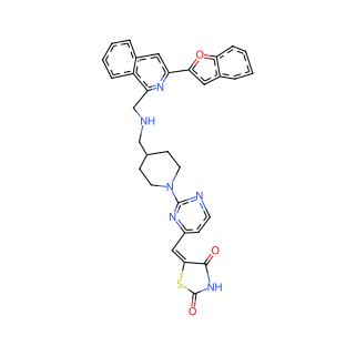 O=C1NC(=O)/C(=C\c2ccnc(N3CCC(CNCc4nc(-c5cc6ccccc6o5)cc5ccccc45)CC3)n2)S1